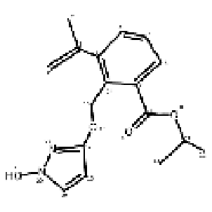 C=C(C)c1cccc(C(=O)OC(C)C)c1COc1ccn(O)n1